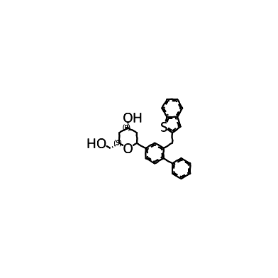 OC[C@@H]1C[C@H](O)CC(c2ccc(-c3ccccc3)c(Cc3cc4ccccc4s3)c2)O1